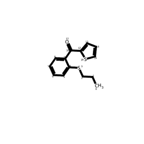 CCCSc1ccccc1C(=O)c1cccs1